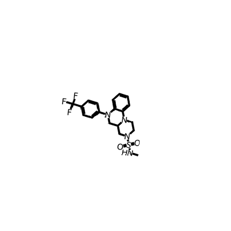 CNS(=O)(=O)N1CCN2c3ccccc3N(c3ccc(C(F)(F)F)cc3)CC2C1